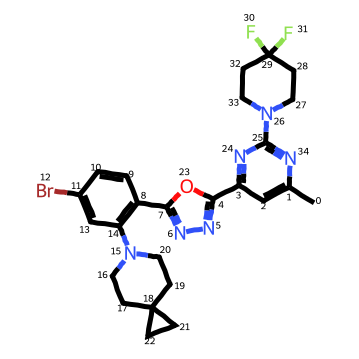 Cc1cc(-c2nnc(-c3ccc(Br)cc3N3CCC4(CC3)CC4)o2)nc(N2CCC(F)(F)CC2)n1